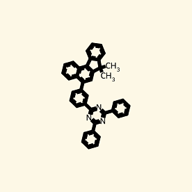 CC1(C)c2ccccc2-c2c1cc(-c1cccc(-c3nc(-c4ccccc4)nc(-c4ccccc4)n3)c1)c1ccccc21